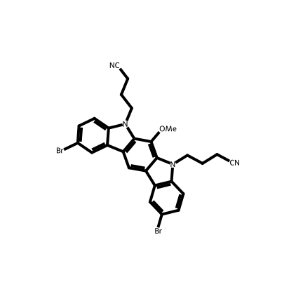 COc1c2c(cc3c4cc(Br)ccc4n(CCCC#N)c13)c1cc(Br)ccc1n2CCCC#N